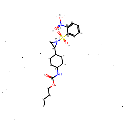 CCCCOC(=O)NC1CCC(C2CN2S(=O)(=O)c2ccccc2[N+](=O)[O-])CC1